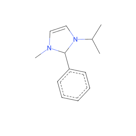 CC(C)N1C=CN(C)C1c1ccccc1